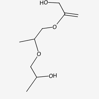 C=C(CO)OCC(C)OCC(C)O